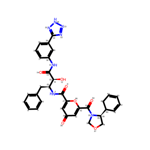 O=C(N[C@@H](Cc1ccccc1)[C@H](O)C(=O)Nc1cccc(-c2nn[nH]n2)c1)c1cc(=O)cc(C(=O)N2COC[C@@H]2C2C=CC=CC2)o1